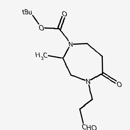 CC1CN(CCC=O)C(=O)CCN1C(=O)OC(C)(C)C